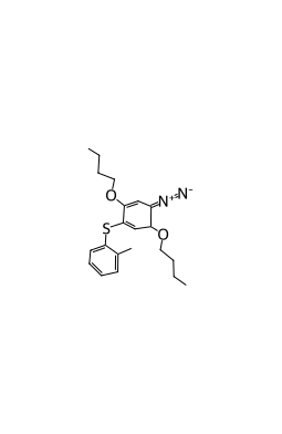 CCCCOC1=CC(=[N+]=[N-])C(OCCCC)C=C1Sc1ccccc1C